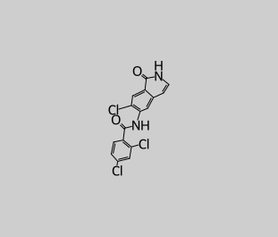 O=C(Nc1cc2cc[nH]c(=O)c2cc1Cl)c1ccc(Cl)cc1Cl